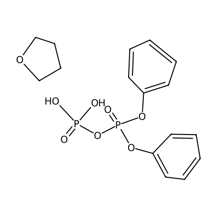 C1CCOC1.O=P(O)(O)OP(=O)(Oc1ccccc1)Oc1ccccc1